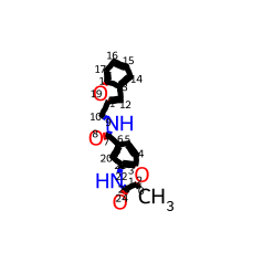 CC1Oc2ccc(C(=O)NCc3cc4ccccc4o3)cc2NC1=O